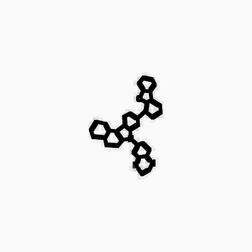 c1ccc2c(c1)ccc1c2c2ccc(-c3cccc4c3oc3ccccc34)cc2n1-c1ccc2nccnc2c1